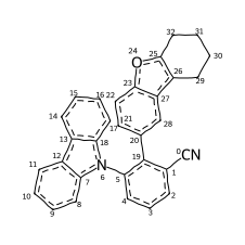 N#Cc1cccc(-n2c3ccccc3c3ccccc32)c1-c1ccc2oc3c(c2c1)CCCC3